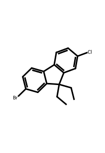 CCC1(CC)c2cc(Cl)ccc2-c2ccc(Br)cc21